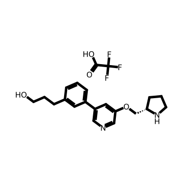 O=C(O)C(F)(F)F.OCCCc1cccc(-c2cncc(OC[C@@H]3CCCN3)c2)c1